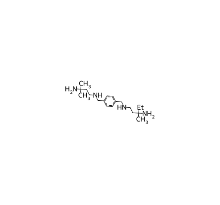 CCC(C)(N)CCNCc1ccc(CNCCC(C)(C)N)cc1